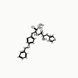 CC(C)(C)NC(=O)C(Cc1ccc(OCc2ccccc2)cc1)NC(=O)C(N)Cc1cscn1